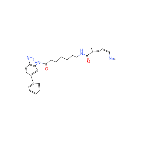 C=N/C=C\C=C(/C)C(=O)NCCCCCCC(=O)Nc1cc(-c2ccccc2)ccc1N